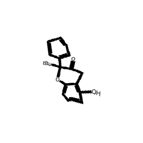 CC(C)(C)C1(c2ccccc2)Oc2cccc(O)c2CC1=O